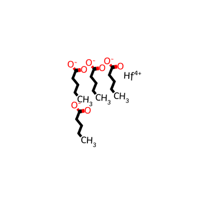 CCCCC(=O)[O-].CCCCC(=O)[O-].CCCCC(=O)[O-].CCCCC(=O)[O-].[Hf+4]